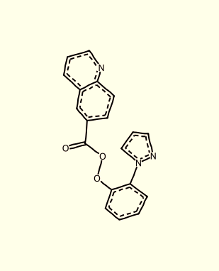 O=C(OOc1ccccc1-n1cccn1)c1ccc2ncccc2c1